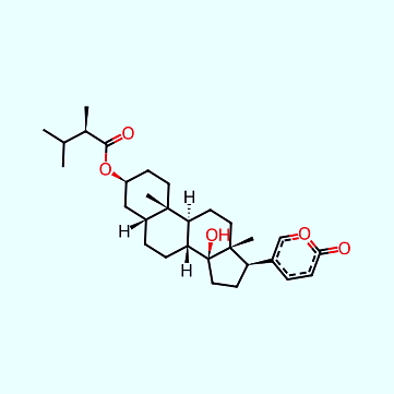 CC(C)[C@@H](C)C(=O)O[C@H]1CC[C@@]2(C)[C@H](CC[C@@H]3[C@@H]2CC[C@]2(C)[C@@H](c4ccc(=O)oc4)CC[C@]32O)C1